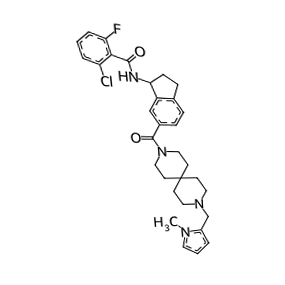 Cn1cccc1CN1CCC2(CC1)CCN(C(=O)c1ccc3c(c1)C(NC(=O)c1c(F)cccc1Cl)CC3)CC2